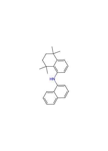 CC1(C)CCC(C)(C)c2c(Nc3cccc4ccccc34)cccc21